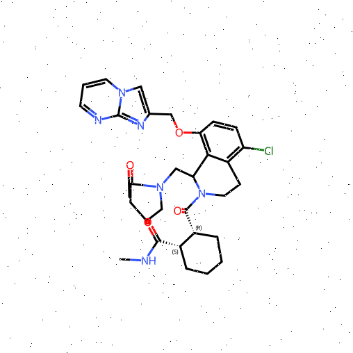 CNC(=O)[C@H]1CCCC[C@H]1C(=O)N1CCc2c(Cl)ccc(OCc3cn4cccnc4n3)c2C1CN1CCCC1=O